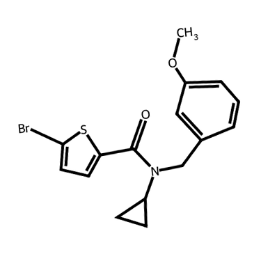 COc1cccc(CN(C(=O)c2ccc(Br)s2)C2CC2)c1